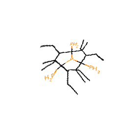 CCC(CC)C(P)(CC)P(C(P)(CC)C(CC)CC)C(P)(CC)C(CC)CC